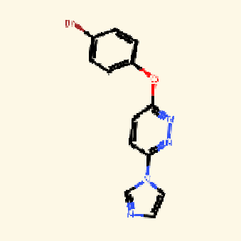 Brc1ccc(Oc2ccc(-n3ccnc3)nn2)cc1